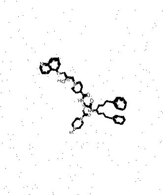 CCN1CCN(C(=O)C[C@H](NC(=O)C2CCN(C[C@@H](O)COc3cccc4ncccc34)CC2)C(=O)NC(CCCc2ccccc2)CCCc2ccccc2)CC1